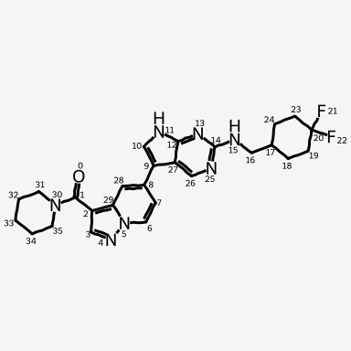 O=C(c1cnn2ccc(-c3c[nH]c4nc(NCC5CCC(F)(F)CC5)ncc34)cc12)N1CCCCC1